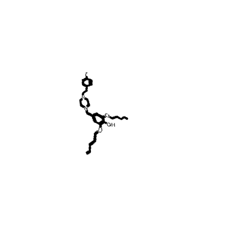 CCCCCOc1cc(CN2CCN(CCc3ccc(F)cc3)CC2)cc(OCCCCC)c1O